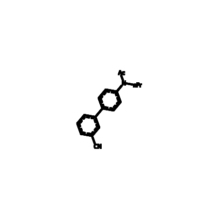 CCCN(C(C)=O)c1ccc(-c2cccc(C#N)c2)cc1